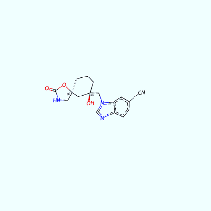 N#Cc1ccc2ncn(C[C@@]3(O)CCC[C@@]4(CNC(=O)O4)C3)c2c1